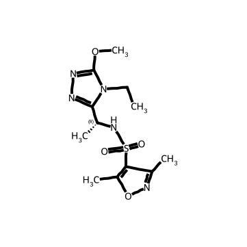 CCn1c(OC)nnc1[C@@H](C)NS(=O)(=O)c1c(C)noc1C